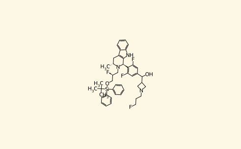 C[C@@H]1Cc2c([nH]c3ccccc23)[C@@H](c2c(F)cc(C(O)C3CN(CCCF)C3)cc2F)N1C[C@H](F)CO[Si](c1ccccc1)(c1ccccc1)C(C)(C)C